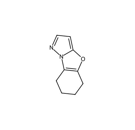 c1cc2oc3c(n2n1)CCCC3